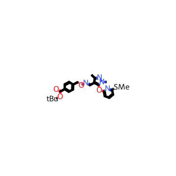 CSc1cccc(Oc2c(C=NOCc3ccc(C(=O)OC(C)(C)C)cc3)c(C)nn2C)n1